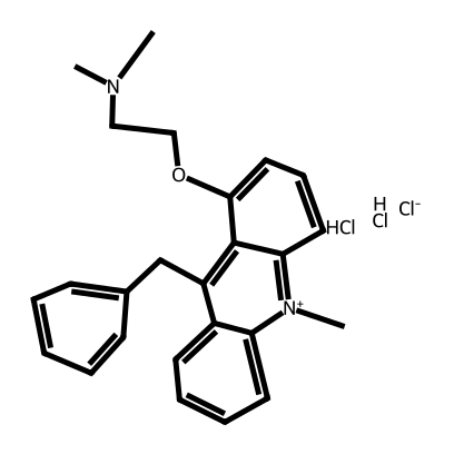 CN(C)CCOc1cccc2c1c(Cc1ccccc1)c1ccccc1[n+]2C.Cl.Cl.[Cl-]